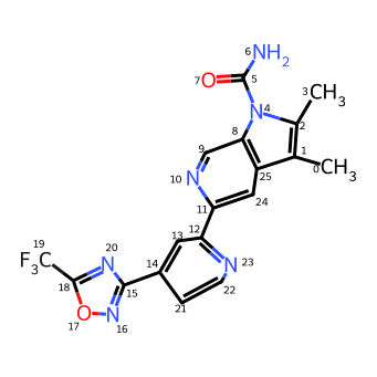 Cc1c(C)n(C(N)=O)c2cnc(-c3cc(-c4noc(C(F)(F)F)n4)ccn3)cc12